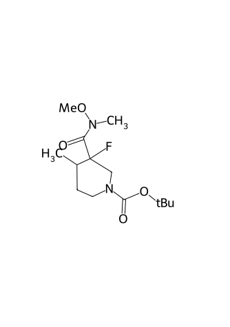 CON(C)C(=O)C1(F)CN(C(=O)OC(C)(C)C)CCC1C